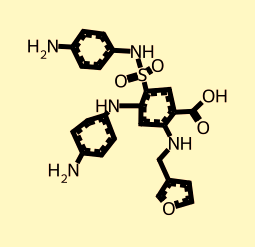 Nc1ccc(Nc2cc(NCc3ccoc3)c(C(=O)O)cc2S(=O)(=O)Nc2ccc(N)cc2)cc1